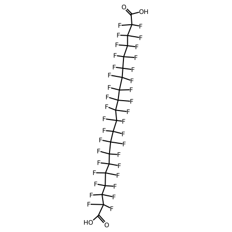 O=C(O)C(F)(F)C(F)(F)C(F)(F)C(F)(F)C(F)(F)C(F)(F)C(F)(F)C(F)(F)C(F)(F)C(F)(F)C(F)(F)C(F)(F)C(F)(F)C(F)(F)C(F)(F)C(F)(F)C(F)(F)C(F)(F)C(=O)O